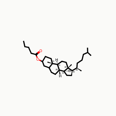 CCCCC(=O)OC1CC[C@@]2(C)C(CC[C@H]3[C@@H]4CC[C@H]([C@H](C)CCCC(C)C)[C@@]4(C)CC[C@@H]32)C1